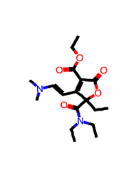 CCOC(=O)C1=C(/C=C/N(C)C)C(CC)(C(=O)N(CC)CC)OC1=O